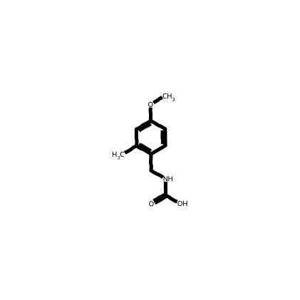 COc1ccc(CNC(=O)O)c(C)c1